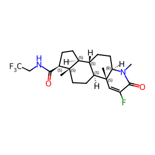 CN1C(=O)C(F)=C[C@]2(C)[C@H]3CC[C@]4(C)[C@@H](C(=O)NCC(F)(F)F)CC[C@H]4[C@@H]3CC[C@@H]12